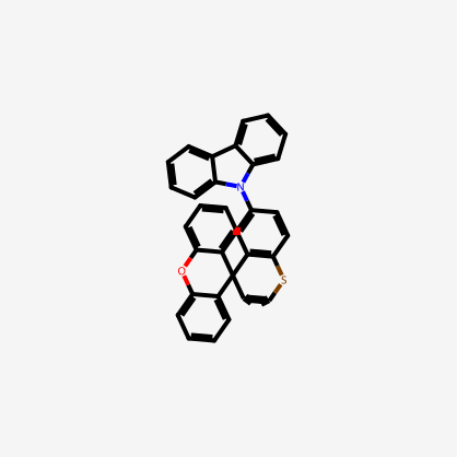 c1ccc2c(c1)Oc1ccccc1C21c2ccccc2Sc2ccc(-n3c4ccccc4c4ccccc43)cc21